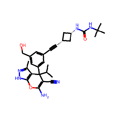 Cc1n[nH]c2c1C(c1cc(C#C[C@H]3C[C@@H](NC(=O)NC(C)(C)C)C3)cc(CO)c1)(C(C)C)C(C#N)=C(N)O2